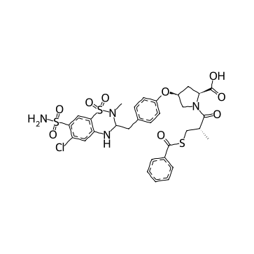 C[C@H](CSC(=O)c1ccccc1)C(=O)N1C[C@@H](Oc2ccc(CC3Nc4cc(Cl)c(S(N)(=O)=O)cc4S(=O)(=O)N3C)cc2)C[C@H]1C(=O)O